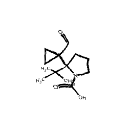 CC(C)(C)[C@@]1(C2(C=O)CC2)CCCN1C(=O)O